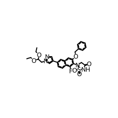 CCOC(Cn1cc(-c2ccc3c(F)c(N4CC(=O)NS4(=O)=O)c(OCc4ccccc4)cc3c2)cn1)OCC